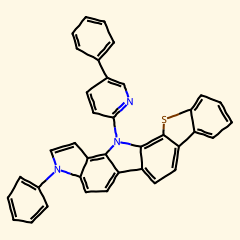 c1ccc(-c2ccc(-n3c4c(ccc5c4ccn5-c4ccccc4)c4ccc5c6ccccc6sc5c43)nc2)cc1